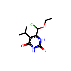 CCOC(Cl)c1[nH]c(=O)[nH]c(=O)c1C(C)C